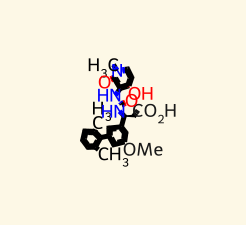 COc1cc(-c2c(C)cccc2C)cc([C@H](CC(=O)O)NC(=O)Nc2c(O)ccn(C)c2=O)c1